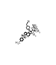 Cc1ccc(S(=O)(=O)n2ccc3c2ncc2nc(C(OC(N)=O)C(C)(C)C)n(N4CCC(CC#N)CC4)c23)cc1